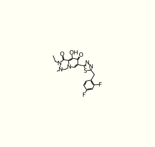 CCN1C(=O)c2c(O)c(=O)c(-c3nnc(Cc4ccc(F)cc4F)s3)cn2CN1C